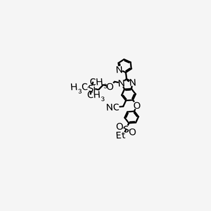 CCS(=O)(=O)c1ccc(Oc2cc3nc(-c4ccccn4)n(COCC[Si](C)(C)C)c3cc2CC#N)cc1